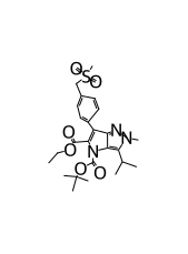 CCOC(=O)c1c(-c2ccc(CS(C)(=O)=O)cc2)c2nn(C)c(C(C)C)c2n1C(=O)OC(C)(C)C